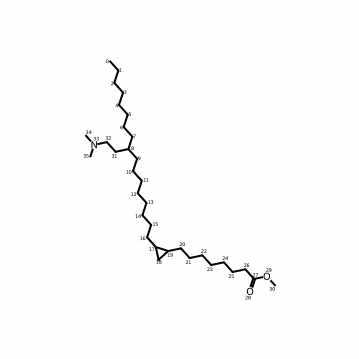 CCCCCCCCC(CCCCCCCCC1CC1CCCCCCCC(=O)OC)CCN(C)C